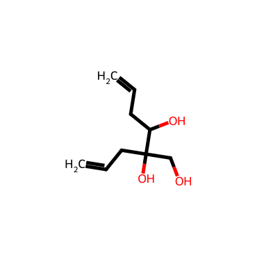 C=CCC(O)C(O)(CO)CC=C